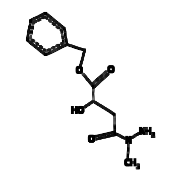 CN(N)C(=O)CC(O)C(=O)OCc1ccccc1